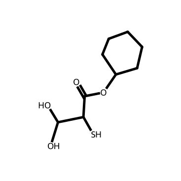 O=C(OC1CCCCC1)C(S)C(O)O